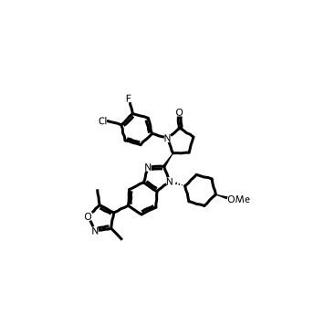 CO[C@H]1CC[C@H](n2c([C@@H]3CCC(=O)N3c3ccc(Cl)c(F)c3)nc3cc(-c4c(C)noc4C)ccc32)CC1